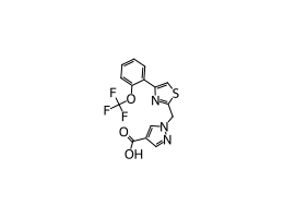 O=C(O)c1cnn(Cc2nc(-c3ccccc3OC(F)(F)F)cs2)c1